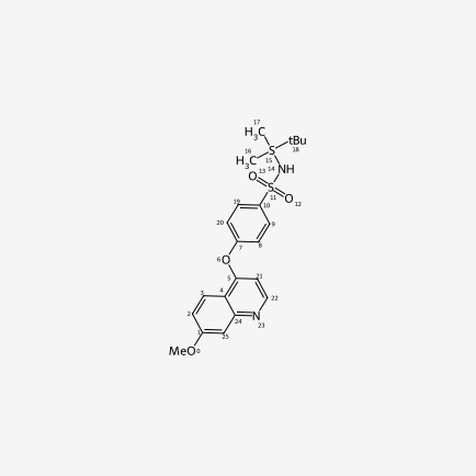 COc1ccc2c(Oc3ccc(S(=O)(=O)NS(C)(C)C(C)(C)C)cc3)ccnc2c1